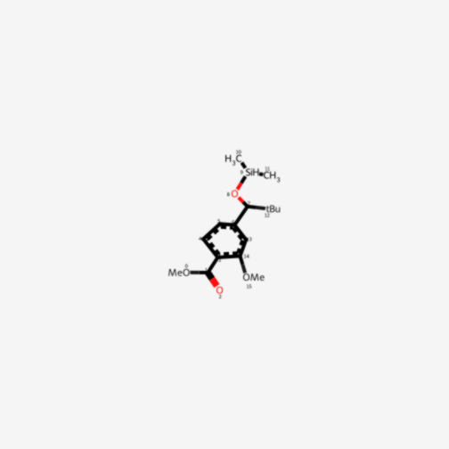 COC(=O)c1ccc(C(O[SiH](C)C)C(C)(C)C)cc1OC